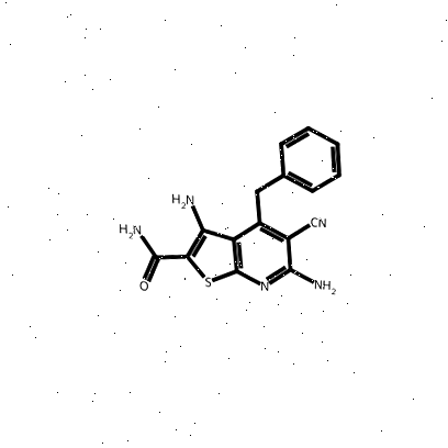 N#Cc1c(N)nc2sc(C(N)=O)c(N)c2c1Cc1ccccc1